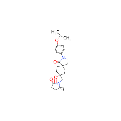 CC(C)Oc1ccc(N2CCC3(CCC(O)(CN4C(=O)CCC45CC5)CC3)C2=O)cc1